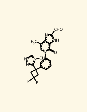 Cn1cnnc1C1(c2cccc(-n3cc(C(F)(F)F)c4nc(C=O)[nH]c4c3=O)c2)CC(F)(F)C1